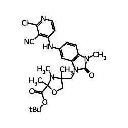 CN1C(C)(Cn2c(=O)n(C)c3ccc(Nc4ccnc(Cl)c4C#N)cc32)COC1(C)C(=O)OC(C)(C)C